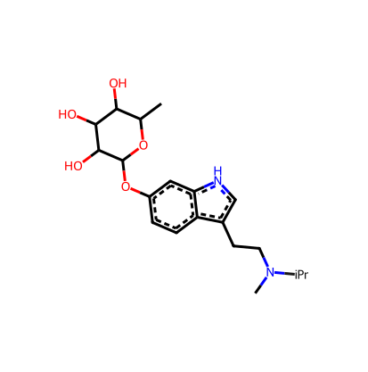 CC1OC(Oc2ccc3c(CCN(C)C(C)C)c[nH]c3c2)C(O)C(O)C1O